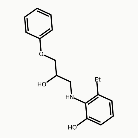 CCc1cccc(O)c1NCC(O)COc1ccccc1